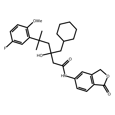 COc1ccc(F)cc1C(C)(C)CC(O)(CC(=O)Nc1ccc2c(c1)COC2=O)CC1CCCCC1